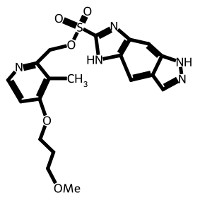 COCCCOc1ccnc(COS(=O)(=O)c2nc3cc4[nH]ncc4cc3[nH]2)c1C